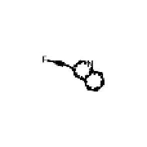 FC#Cc1[c]c2ccccc2nc1